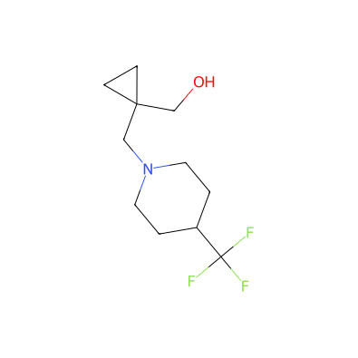 OCC1(CN2CCC(C(F)(F)F)CC2)CC1